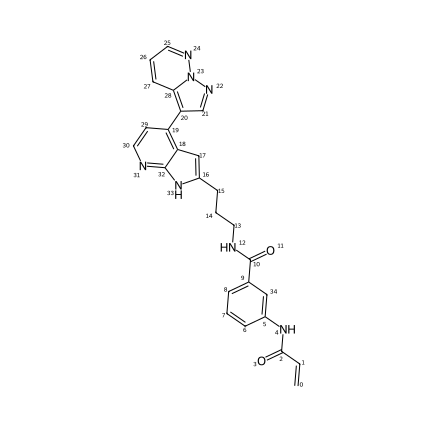 C=CC(=O)Nc1cccc(C(=O)NCCCc2cc3c(-c4cnn5ncccc45)ccnc3[nH]2)c1